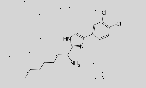 CCCCCCC(N)c1nc(-c2ccc(Cl)c(Cl)c2)c[nH]1